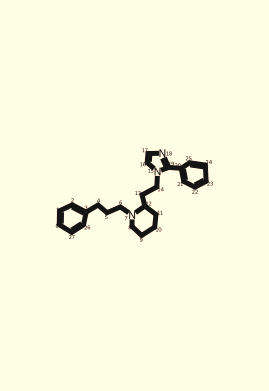 c1ccc(CCCN2CCCCC2CCn2ccnc2-c2ccccc2)cc1